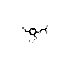 COc1cc(CO)ccc1OCC(F)F